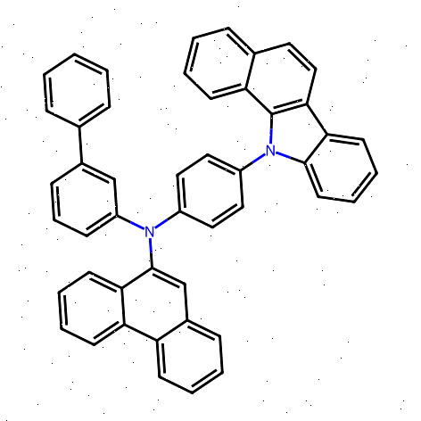 c1ccc(-c2cccc(N(c3ccc(-n4c5ccccc5c5ccc6ccccc6c54)cc3)c3cc4ccccc4c4ccccc34)c2)cc1